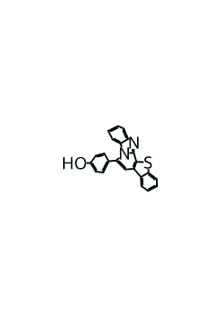 Oc1ccc(-c2cc3c4ccccc4sc3c3nc4ccccc4n23)cc1